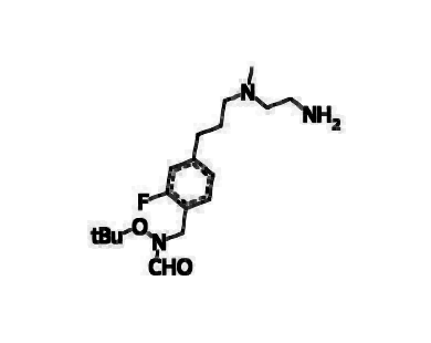 CN(CCN)CCCc1ccc(CN(C=O)OC(C)(C)C)c(F)c1